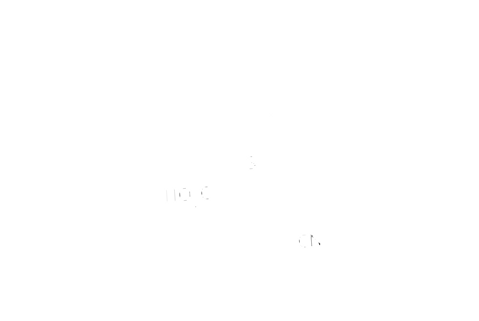 N#Cc1ccc(C(=O)O)c(SCc2ccccc2)c1